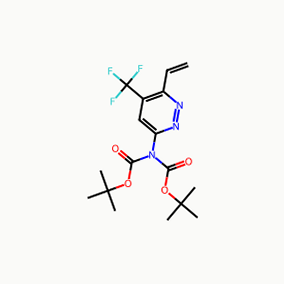 C=Cc1nnc(N(C(=O)OC(C)(C)C)C(=O)OC(C)(C)C)cc1C(F)(F)F